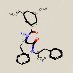 O=C(O)[C@@H]1C[C@H](C(=O)O)C[C@H](C(=O)N[C@@H](Cc2ccccc2)C(=O)N[C@@H](Cc2ccccc2)C(=O)O)C1